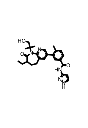 CCC1CCc2cc(-c3cc(C(=O)Nc4cc[nH]n4)ccc3C)cnc2N(C(C)(C)CO)C1=O